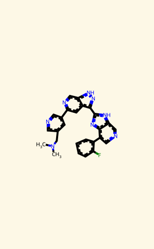 CN(C)Cc1cncc(-c2cc3c(-c4nc5c(-c6ccccc6F)cncc5[nH]4)n[nH]c3cn2)c1